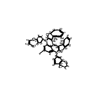 Cc1cc2c3c(c1)N(c1ccc4c(c1)OCCO4)c1oc4ccccc4c1B3c1c(oc3ccccc13)N2c1ccc2c(c1)OCCO2